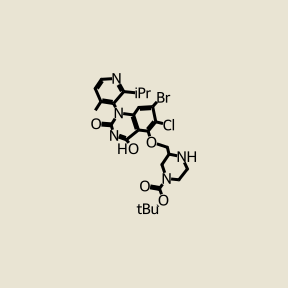 Cc1ccnc(C(C)C)c1-n1c(=O)nc(O)c2c(OCC3CN(C(=O)OC(C)(C)C)CCN3)c(Cl)c(Br)cc21